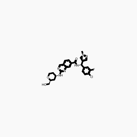 Cn1cc([C@@H](NC(=O)c2ccc3cnc(N[C@H]4CCO[C@H](CO)C4)nc3c2)c2ccc(Cl)c(F)c2)cn1